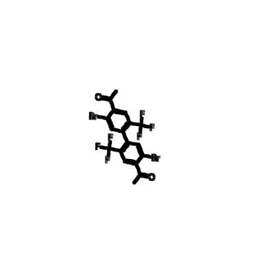 CC(=O)c1cc(C(F)(F)F)c(-c2cc(Br)c(C(C)=O)cc2C(F)(F)F)cc1Br